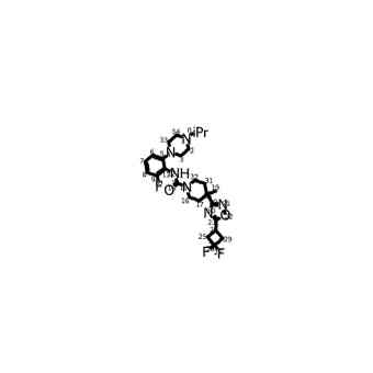 CC(C)N1CCN(c2cccc(F)c2NC(=O)N2CCC(C)(c3noc(C4CC(F)(F)C4)n3)CC2)CC1